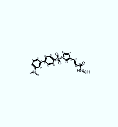 CN(C)c1cccc(-c2ccc(S(=O)(=O)n3ccc(C=CC(=O)NO)c3)cc2)c1